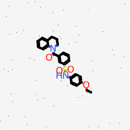 CCOc1ccc(NS(=O)(=O)c2cccc(C(=O)N3CCCc4ccccc43)c2)cc1